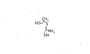 C=C(/C=C\C=C(/N)CO)CO